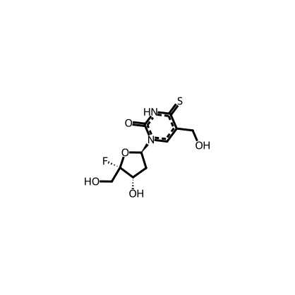 O=c1[nH]c(=S)c(CO)cn1[C@H]1C[C@H](O)[C@@](F)(CO)O1